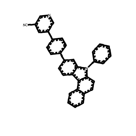 N#Cc1cncc(-c2ccc(-c3ccc4c5c6ccccc6ccc5n(-c5ccccc5)c4c3)cc2)c1